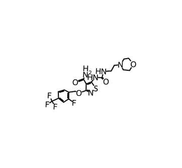 NC(=O)c1c(OCc2ccc(C(F)(F)F)cc2F)nsc1NC(=O)NCCN1CCOCC1